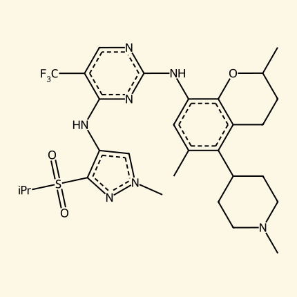 Cc1cc(Nc2ncc(C(F)(F)F)c(Nc3cn(C)nc3S(=O)(=O)C(C)C)n2)c2c(c1C1CCN(C)CC1)CCC(C)O2